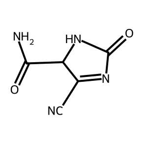 N#CC1=NC(=O)NC1C(N)=O